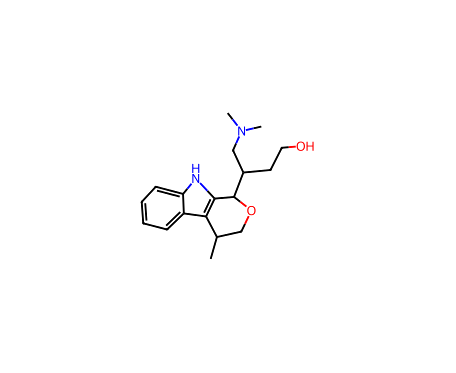 CC1COC(C(CCO)CN(C)C)c2[nH]c3ccccc3c21